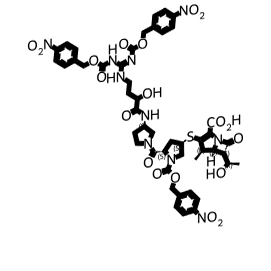 C[C@@H](O)[C@H]1C(=O)N2C(C(=O)O)=C(S[C@H]3C[C@@H](C(=O)N4CC[C@H](NC(=O)C(O)CCNC(=NC(=O)OCc5ccc([N+](=O)[O-])cc5)NC(=O)OCc5ccc([N+](=O)[O-])cc5)C4)N(C(=O)OCc4ccc([N+](=O)[O-])cc4)C3)[C@H](C)[C@H]12